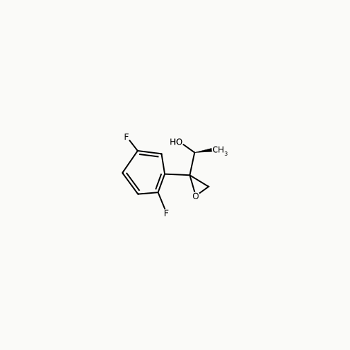 C[C@H](O)C1(c2cc(F)ccc2F)CO1